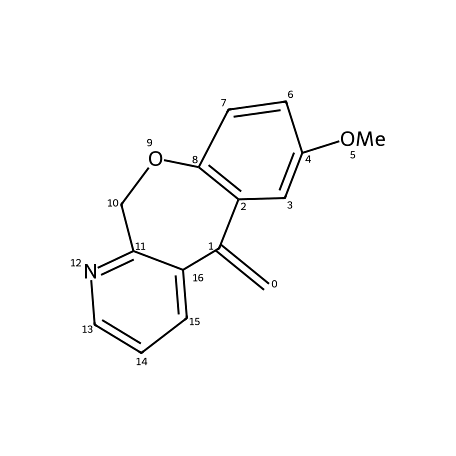 C=C1c2cc(OC)ccc2OCc2ncccc21